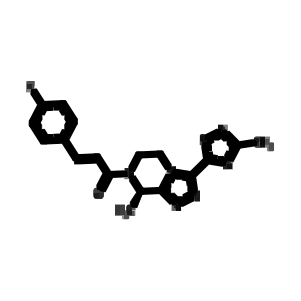 Cc1nsc(-c2nnc3n2CCN(C(=O)/C=C/c2ccc(F)cc2)[C@@H]3C)n1